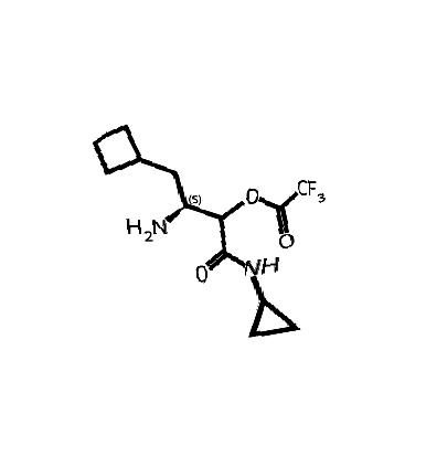 N[C@@H](CC1CCC1)C(OC(=O)C(F)(F)F)C(=O)NC1CC1